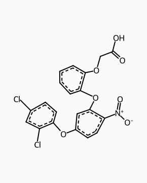 O=C(O)COc1ccccc1Oc1cc(Oc2ccc(Cl)cc2Cl)ccc1[N+](=O)[O-]